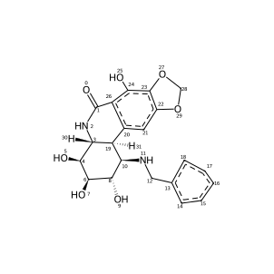 O=C1N[C@H]2[C@H](O)[C@H](O)[C@@H](O)[C@H](NCc3ccccc3)[C@@H]2c2cc3c(c(O)c21)OCO3